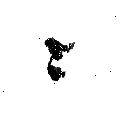 O=C(O)C[C@@H](c1nc2ccccc2o1)N1CCC(CCCC2=CC=C3CCCNC3N2)C1=O